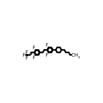 CCCCCC1CCC(c2cc(F)c(CCc3cc(F)c(/C=C/C(F)(F)F)c(F)c3)c(F)c2)CC1